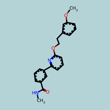 CNC(=O)c1cccc(-c2cccc(OCCc3cccc(OC)c3)n2)c1